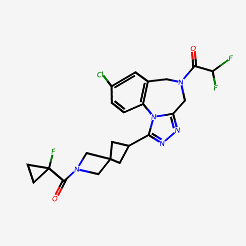 O=C(C(F)F)N1Cc2cc(Cl)ccc2-n2c(nnc2C2CC3(C2)CN(C(=O)C2(F)CC2)C3)C1